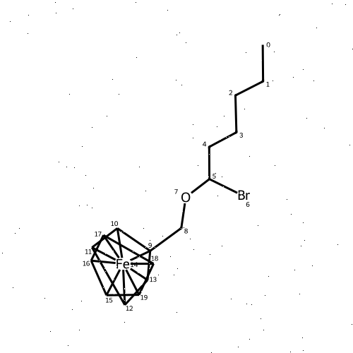 CCCCCC(Br)OC[C]12[CH]3[CH]4[CH]5[CH]1[Fe]45321678[CH]2[CH]1[CH]6[CH]7[CH]28